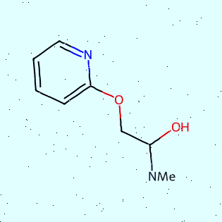 CNC(O)COc1ccccn1